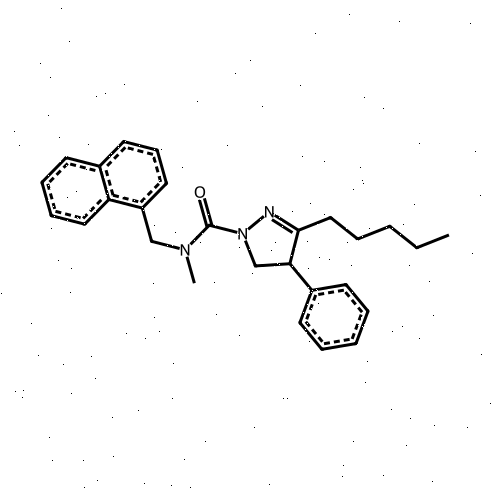 CCCCCC1=NN(C(=O)N(C)Cc2cccc3ccccc23)CC1c1ccccc1